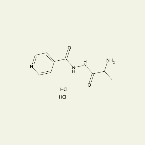 CC(N)C(=O)NNC(=O)c1ccncc1.Cl.Cl